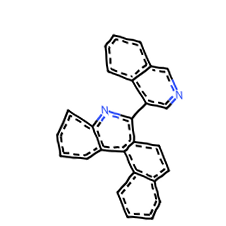 c1ccc2c(-c3nc4ccccc4c4c3ccc3ccccc34)cncc2c1